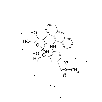 COc1cc(NS(C)(=O)=O)ccc1Nc1c2ccccc2nc2cccc(C(OP(=O)(O)O)C(O)CO)c12